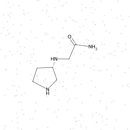 NC(=O)CN[C@H]1CCNC1